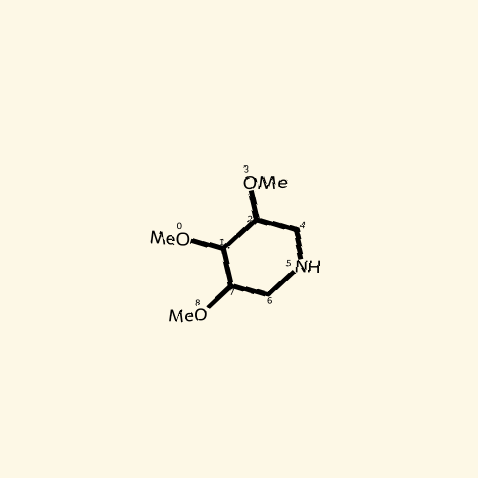 CO[C]1C(OC)CNCC1OC